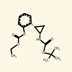 CCOC(=O)Oc1ccccc1[C@@H]1C[C@H]1NC(=O)OC(C)(C)C